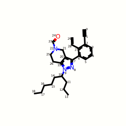 C#Cc1cccc(-c2nn(C(CCC)CCCCC)c3c2CN(C=O)CC3)c1C=C